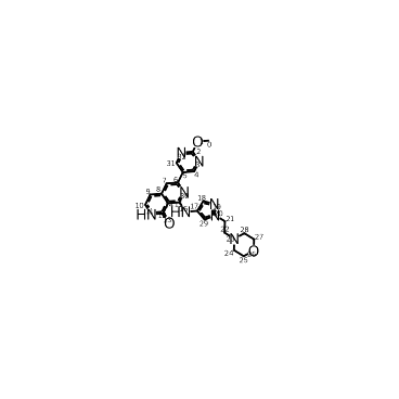 COc1ncc(-c2cc3cc[nH]c(=O)c3c(Nc3cnn(CCN4CCOCC4)c3)n2)cn1